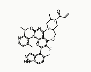 C=CC(=O)N1CC2COc3c(F)c(-c4c(C)ccc5[nH]ncc45)nc4c3c(nc(=O)n4-c3c(C)ccnc3C(C)C)N2CC1C